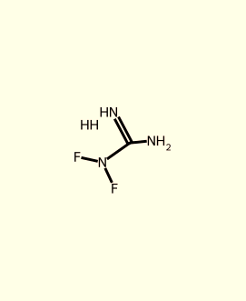 N=C(N)N(F)F.[HH]